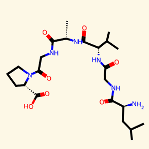 CC(C)C[C@H](N)C(=O)NCC(=O)N[C@H](C(=O)N[C@@H](C)C(=O)NCC(=O)N1CCC[C@H]1C(=O)O)C(C)C